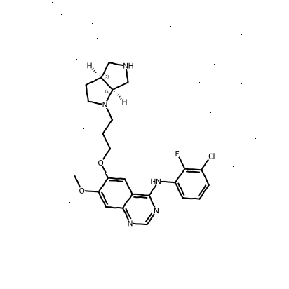 COc1cc2ncnc(Nc3cccc(Cl)c3F)c2cc1OCCCN1CC[C@H]2CNC[C@H]21